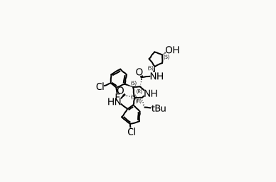 CC(C)(C)C[C@H]1N[C@@H](C(=O)N[C@H]2CC[C@H](O)C2)[C@H](c2cccc(Cl)c2F)[C@@]12C(=O)Nc1cc(Cl)ccc12